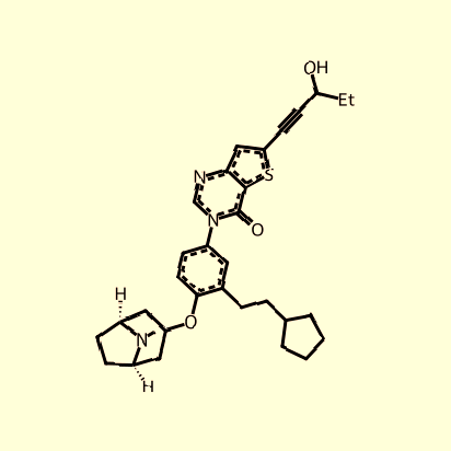 CCC(O)C#Cc1cc2ncn(-c3ccc(OC4C[C@H]5CC[C@@H](C4)N5C)c(CCC4CCCC4)c3)c(=O)c2s1